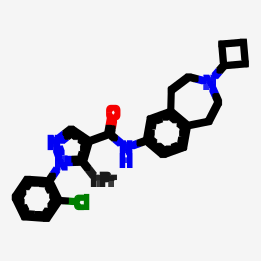 CCCc1c(C(=O)Nc2ccc3c(c2)CCN(C2CCC2)CC3)cnn1-c1ccccc1Cl